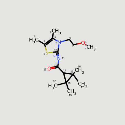 COCCn1c(C)c(C)s/c1=N\C(=O)C1C(C)(C)C1(C)C